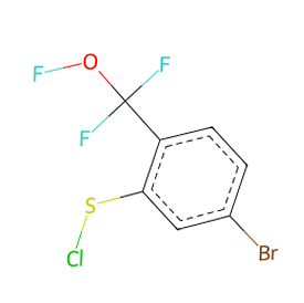 FOC(F)(F)c1ccc(Br)cc1SCl